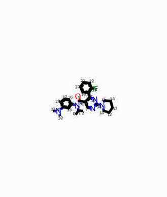 CC(C)N(C(=O)c1cnc(N2CCCCC2)nc1-c1ccccc1F)c1cccc(N(C)C)c1